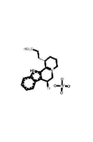 CCC1C[N+]2=C(c3[nH]c4ccccc4c31)[C@H](CCC(=O)O)CCC2.[O-][Cl+3]([O-])([O-])[O-]